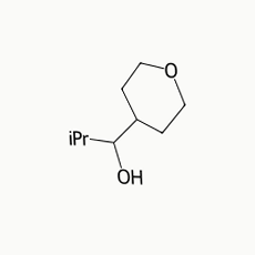 [CH2]C(C)C(O)C1CCOCC1